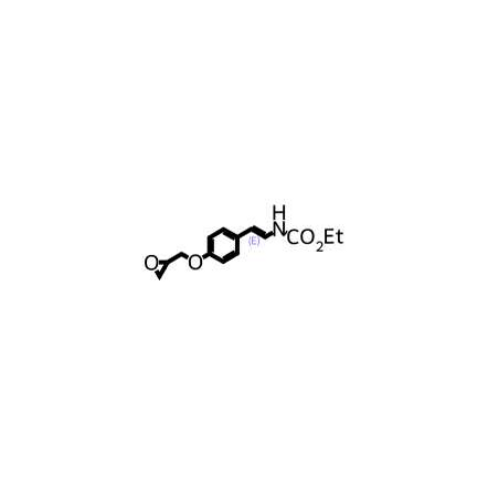 CCOC(=O)N/C=C/c1ccc(OCC2CO2)cc1